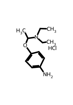 CCN(CC)C(C)Oc1ccc(N)cc1.Cl